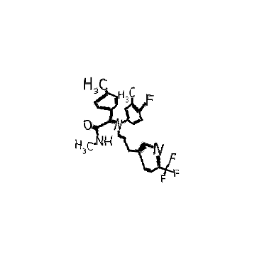 CNC(=O)C(c1ccc(C)cc1)N(CCCc1ccc(C(F)(F)F)nc1)c1ccc(F)c(C)c1